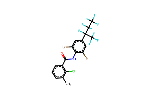 Cc1cccc(C(=O)Nc2c(Br)cc(C(F)(C(F)(F)F)C(F)(F)C(F)(F)F)cc2Br)c1Cl